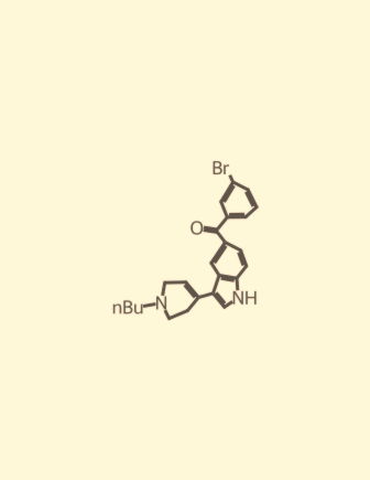 CCCCN1CC=C(c2c[nH]c3ccc(C(=O)c4cccc(Br)c4)cc23)CC1